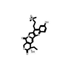 CC[C@@]1(O)C(=O)OCc2c1cc1n(c2=O)Cc2c-1nc1ccc(O)cc1c2CC[SH](C)(C)=O